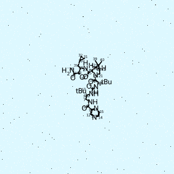 CC(C)(C)[C@H](NC(=O)N[C@H](CNC(=O)c1cnccn1)C(C)(C)C)C(=O)N1C[C@H]2[C@@H]([C@H]1C(=O)NC(CC1CC1)C(=O)C(N)=O)C2(C)C